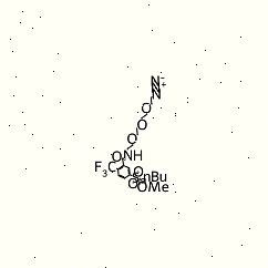 C[CH]CC[C@@H](OC)S(=O)(=O)c1ccc(C(F)(F)F)c(C(=O)NCCOCCOCCOCCN=[N+]=[N-])c1